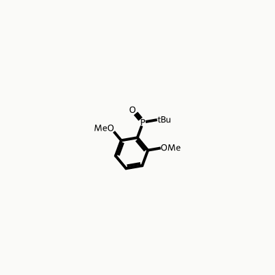 COc1cccc(OC)c1[P](=O)C(C)(C)C